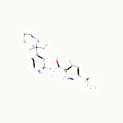 Cc1cc(C(N)=S)cnc1C(=O)Nc1cc(C2(CF)COC[C]=N2)ccn1